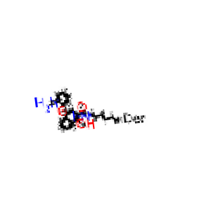 CCCCCCCCCCCCCCCCNC(=O)c1cc(Oc2ccccc2N)c2ccccc2c1O